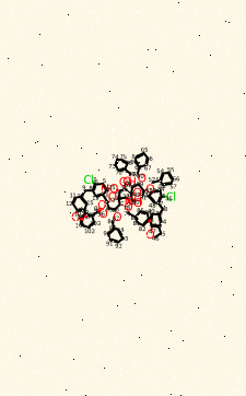 CO[C@@]1(c2ccc(Cl)c(Cc3ccc4c(c3)CCO4)c2)OC(CO)(C(O)C(O)[C@]23CO[C@@](c4ccc(Cl)c(Cc5ccc6c(c5)CCO6)c4)(O2)[C@H](OCc2ccccc2)[C@@H](OCc2ccccc2)[C@H]3OCc2ccccc2)[C@H](OCc2ccccc2)[C@H](OCc2ccccc2)[C@H]1OCc1ccccc1